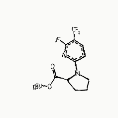 CC(C)(C)OC(=O)[C@@H]1CCCN1c1ccc(C(F)(F)F)c(F)n1